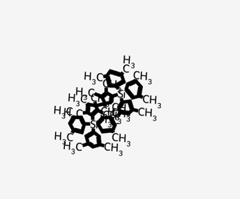 CC1=C(C)C(C)(C2(C)C(C)=C(C)C([Si](c3cc(C)cc(C)c3)(c3cc(C)cc(C)c3)c3cc(C)cc(C)c3)=C2C)C(C)=C1[Si](c1cc(C)cc(C)c1)(c1cc(C)cc(C)c1)c1cc(C)cc(C)c1